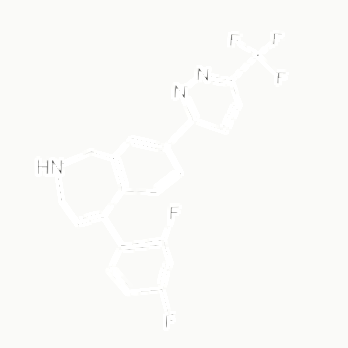 Fc1ccc(C2=CCNCc3cc(-c4ccc(C(F)(F)F)nn4)ccc32)c(F)c1